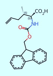 C=CC[C@H](C)[C@H](NC(=O)OCC1c2ccccc2-c2ccccc21)C(=O)O